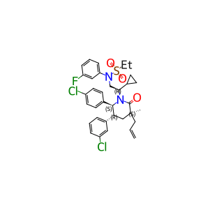 C=CC[C@@]1(C)C[C@H](c2cccc(Cl)c2)[C@@H](c2ccc(Cl)cc2)N([C@@H](CN(c2cccc(F)c2)S(=O)(=O)CC)C2CC2)C1=O